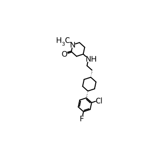 CN1CCC(NCC[C@H]2CC[C@@H](c3ccc(F)cc3Cl)CC2)CC1=O